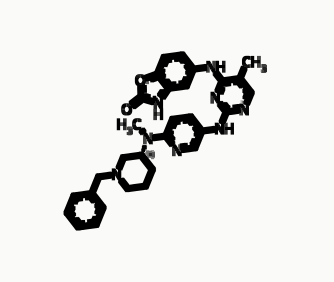 Cc1cnc(Nc2ccc(N(C)[C@@H]3CCCN(Cc4ccccc4)C3)nc2)nc1Nc1ccc2oc(=O)[nH]c2c1